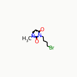 Cn1ccc(=O)n(CCCCBr)c1=O